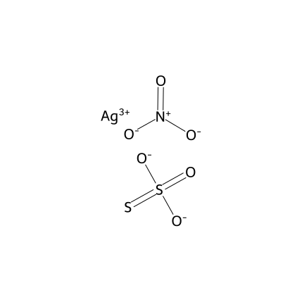 O=S([O-])([O-])=S.O=[N+]([O-])[O-].[Ag+3]